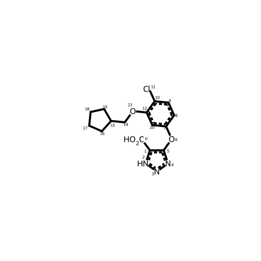 O=C(O)c1[nH]nnc1Oc1ccc(Cl)c(OCC2CCCC2)c1